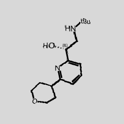 CC(C)(C)NC[C@@H](O)c1cccc(C2CCOCC2)n1